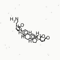 C[C@]12CC[C@H](n3ccn(CCN)c3=O)C[C@H]1CC[C@@H]1[C@@H]2CC[C@]2(C)[C@@H](c3ccc(=O)oc3)CC[C@]12O